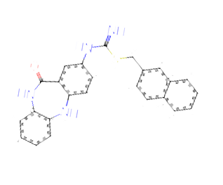 N=C(Nc1ccc2c(c1)C(=O)Nc1ccccc1N2)SCc1ccc2ccccc2c1